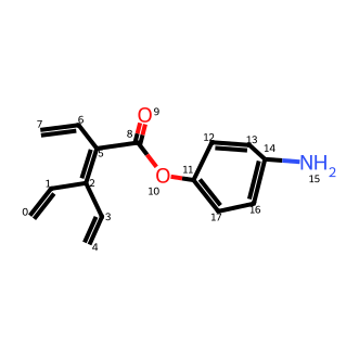 C=CC(C=C)=C(C=C)C(=O)Oc1ccc(N)cc1